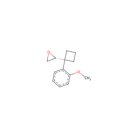 COc1ccccc1C1([C@@H]2CO2)CCC1